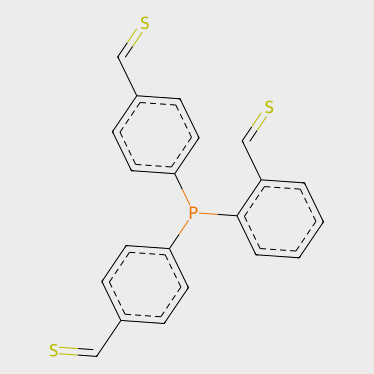 S=Cc1ccc(P(c2ccc(C=S)cc2)c2ccccc2C=S)cc1